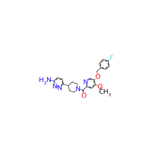 COc1cc(C(=O)N2CCC(c3ccc(N)nn3)CC2)ncc1OCc1ccc(F)cc1